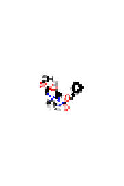 COC(=O)CN(C)C1(N(C)C(=O)OCc2ccccc2)CC1